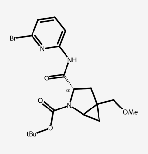 COCC12CC1N(C(=O)OC(C)(C)C)[C@H](C(=O)Nc1cccc(Br)n1)C2